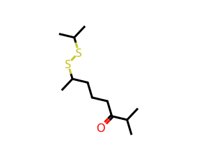 CC(C)SSC(C)CCCC(=O)C(C)C